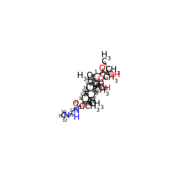 CCO[C@@H](C1C[C@@H](C)[C@H]2C(O1)[C@H](O)[C@@]1(C)C3CC[C@H]4C(C)(C)[C@@H](OC(=O)NCCN5CCC5)CC[C@@]45CC35CC[C@]21C)C(C)(C)O